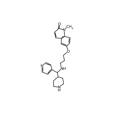 Cn1c(=O)ccc2cc(OCCCNC(c3ccncc3)C3CCNCC3)ccc21